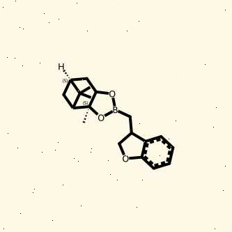 CC1(C)C2C[C@H]1CC1OB(CC3COc4ccccc43)O[C@]12C